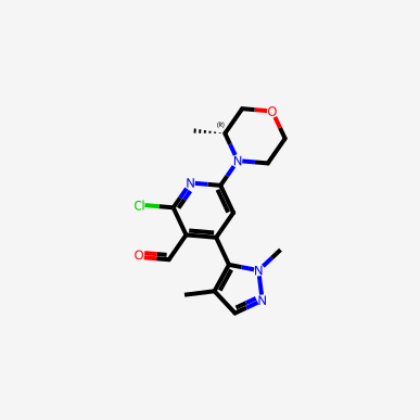 Cc1cnn(C)c1-c1cc(N2CCOC[C@H]2C)nc(Cl)c1C=O